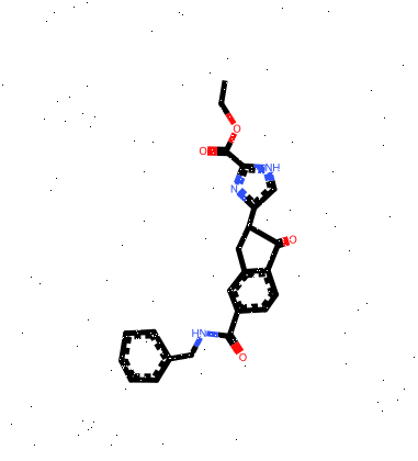 CCOC(=O)c1nc(C2Cc3cc(C(=O)NCc4ccccc4)ccc3C2=O)c[nH]1